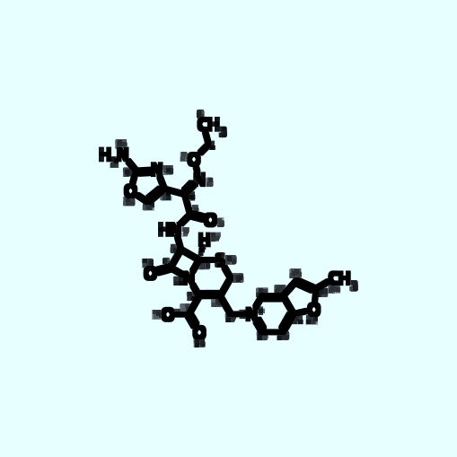 CCO/N=C(/C(=O)NC1C(=O)N2C(C(=O)[O-])=C(C[n+]3ccc4oc(C)cc4c3)CS[C@H]12)c1coc(N)n1